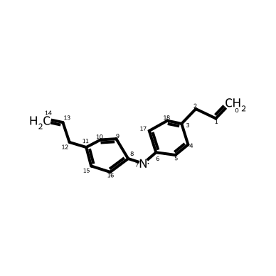 C=CCc1ccc([N]c2ccc(CC=C)cc2)cc1